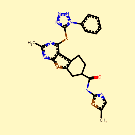 Cc1nc(Sc2nnnn2-c2ccccc2)c2c3c(sc2n1)CC(C(=O)Nc1ncc(C)s1)CC3